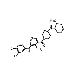 CO[C@@H]1COCC[C@@H]1NC1CCN(C(=O)c2cncc(Nc3ccc(Cl)c(Cl)c3)c2C)CC1